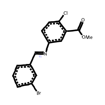 COC(=O)c1cc(/N=C/c2cccc(Br)c2)ccc1Cl